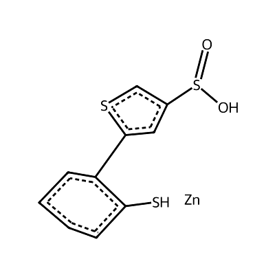 O=S(O)c1csc(-c2ccccc2S)c1.[Zn]